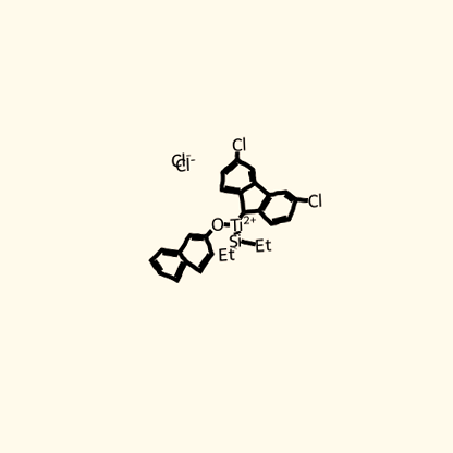 CC[Si](CC)=[Ti+2]([O]c1ccc2ccccc2c1)[CH]1c2ccc(Cl)cc2-c2cc(Cl)ccc21.[Cl-].[Cl-]